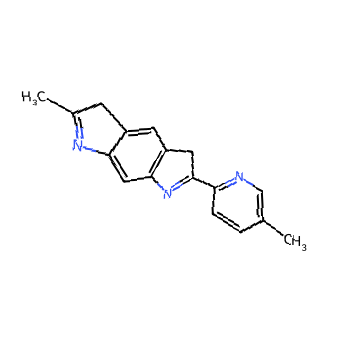 CC1=Nc2cc3c(cc2C1)CC(c1ccc(C)cn1)=N3